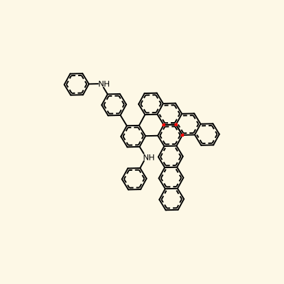 c1ccc(Nc2ccc(-c3ccc(Nc4ccccc4)c(-c4cccc5cc6cc7ccccc7cc6cc45)c3-c3cccc4cc5cc6ccccc6cc5cc34)cc2)cc1